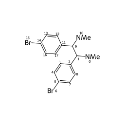 CNC(c1ccc(Br)cc1)C(NC)c1ccc(Br)cc1